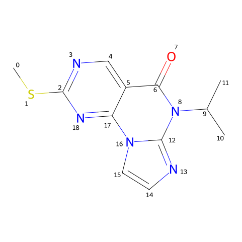 CSc1ncc2c(=O)n(C(C)C)c3nccn3c2n1